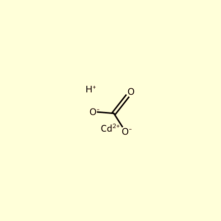 O=C([O-])[O-].[Cd+2].[H+]